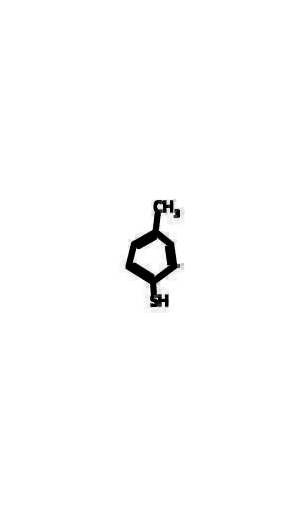 Cc1c[c]c(S)cc1